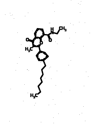 CCCCCCCCc1ccc(-c2oc3c(C(=O)NCC)cccc3c(=O)c2C)cc1